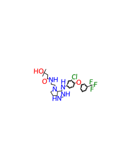 CC(C)(O)CC(=O)NCCN1CCC2NCNC(Nc3ccc(Oc4cccc(C(F)(F)F)c4)c(Cl)c3)C21